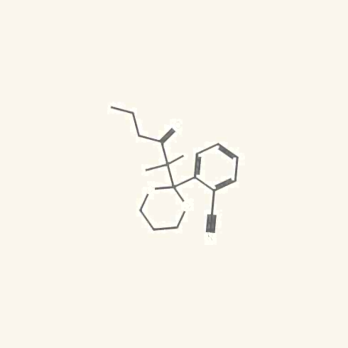 CCCC(=O)C(C)(C)C1(c2ccccc2C#N)OCCCO1